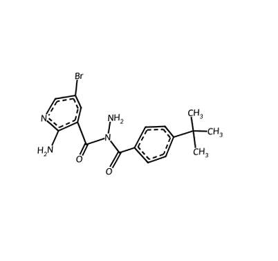 CC(C)(C)c1ccc(C(=O)N(N)C(=O)c2cc(Br)cnc2N)cc1